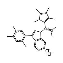 CC1=C(C)C(C)[C]([Zr+2]([CH]2C=C(c3cc(C)c(C)cc3C)c3ccccc32)=[Si](C)C)=C1C.[Cl-].[Cl-]